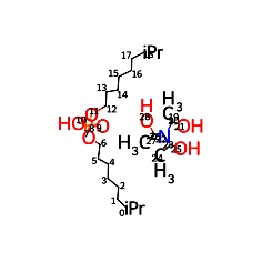 CC(C)CCCCCCOP(=O)(O)OCCCCCCC(C)C.CC(O)N(C(C)O)C(C)O